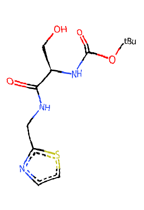 CC(C)(C)OC(=O)N[C@H](CO)C(=O)NCc1nccs1